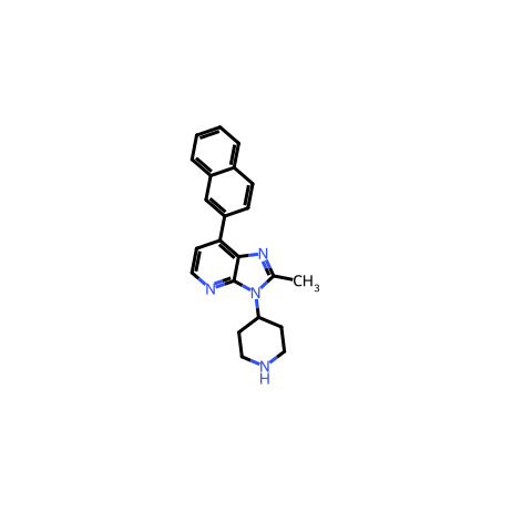 Cc1nc2c(-c3ccc4ccccc4c3)ccnc2n1C1CCNCC1